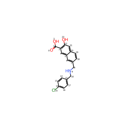 O=C(O)c1cc2cc(CNCc3ccc(Cl)cc3)ccc2cc1O